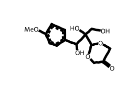 COc1ccc(C(O)C(O)(CO)C2OCC(=O)CO2)cc1